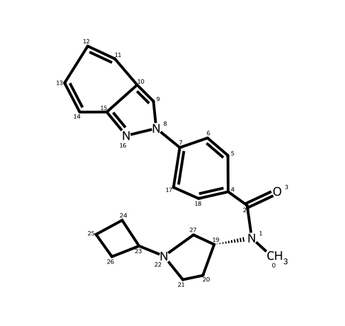 CN(C(=O)c1ccc(-n2cc3ccccc3n2)cc1)[C@@H]1CCN(C2CCC2)C1